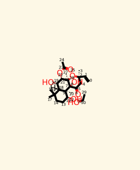 C=C[C@@]1(C)CC(=O)[C@]2(O)[C@@]3(C)[C@@H](O)CCC(C)(C)[C@@H]3[C@H](O)[C@H](OC(C)=O)[C@@]2(C)O1.CCO